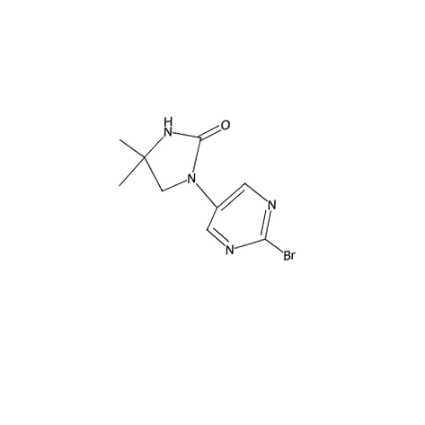 CC1(C)CN(c2cnc(Br)nc2)C(=O)N1